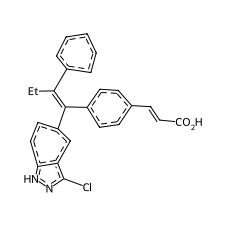 CC/C(=C(/c1ccc(/C=C/C(=O)O)cc1)c1ccc2[nH]nc(Cl)c2c1)c1ccccc1